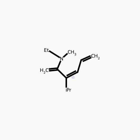 C=C/C=C(\C(=C)N(C)CC)C(C)C